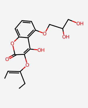 CC=C(CC)Oc1c(O)c2c(OCC(O)CO)cccc2oc1=O